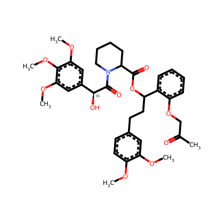 COc1ccc(CCC(OC(=O)C2CCCCN2C(=O)[C@@H](O)c2cc(OC)c(OC)c(OC)c2)c2ccccc2OCC(C)=O)cc1OC